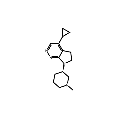 CN1CCC[C@@H](N2CCc3c(C4CC4)cnnc32)C1